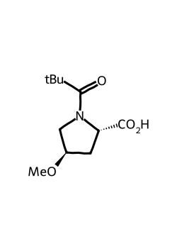 CO[C@@H]1C[C@@H](C(=O)O)N(C(=O)C(C)(C)C)C1